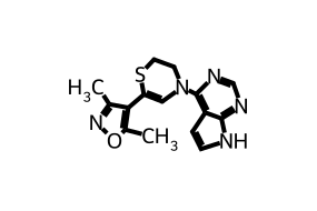 Cc1noc(C)c1C1=CN(c2ncnc3[nH]ccc23)CCS1